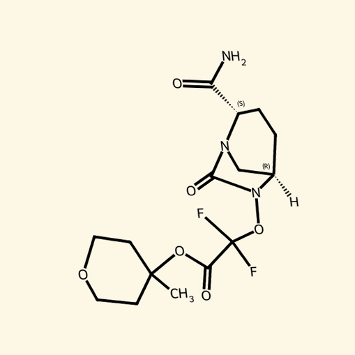 CC1(OC(=O)C(F)(F)ON2C(=O)N3C[C@H]2CC[C@H]3C(N)=O)CCOCC1